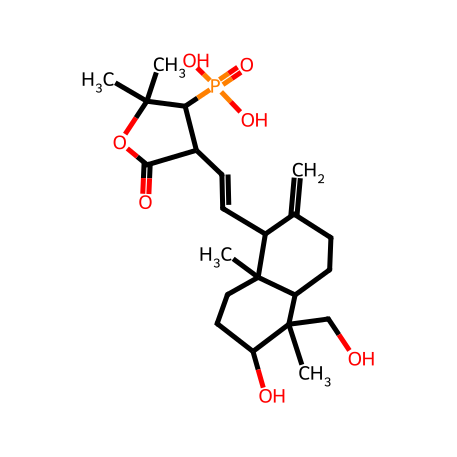 C=C1CCC2C(C)(CO)C(O)CCC2(C)C1C=CC1C(=O)OC(C)(C)C1P(=O)(O)O